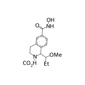 CCC(OC)C1c2ccc(C(=O)NO)cc2CCN1C(=O)O